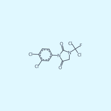 O=C1CN(C(F)(Cl)Cl)C(=O)N1c1ccc(Cl)c(Cl)c1